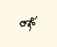 CCOP(=O)(Cn1cccc1)OCC